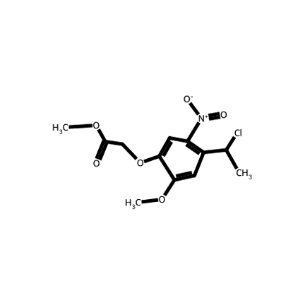 COC(=O)COc1cc([N+](=O)[O-])c(C(C)Cl)cc1OC